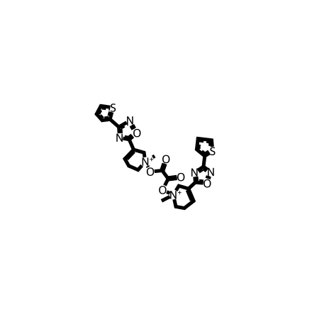 C[N+]1(OC(=O)C(=O)O[N+]2(C)CCC=C(c3nc(-c4cccs4)no3)C2)CCC=C(c2nc(-c3cccs3)no2)C1